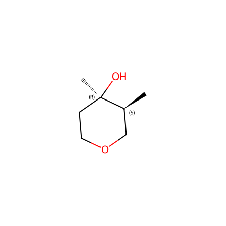 C[C@H]1COCC[C@@]1(C)O